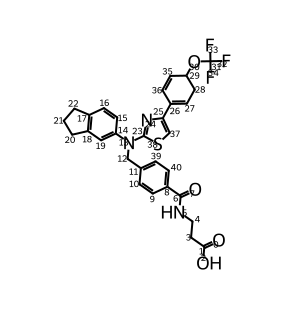 O=C(O)CCNC(=O)c1ccc(CN(c2ccc3c(c2)CCC3)c2nc(C3=CCC(OC(F)(F)F)C=C3)cs2)cc1